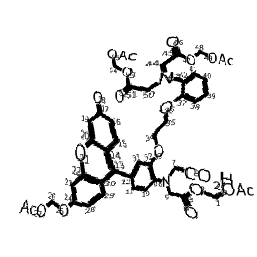 CC(=O)OCOC(=O)CN(CC(=O)O)c1ccc(-c2c3ccc(=O)cc-3oc3cc(OCOC(C)=O)ccc23)cc1OCCOc1ccccc1N(CC(=O)OCOC(C)=O)CC(=O)OCOC(C)=O